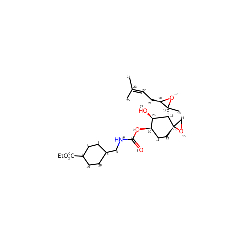 CCOC(=O)C1CCC(CNC(=O)O[C@@H]2CC[C@]3(CO3)[C@@H](C3(C)O[C@@H]3CC=C(C)C)[C@@H]2O)CC1